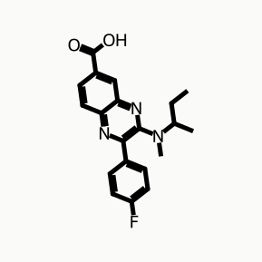 CCC(C)N(C)c1nc2cc(C(=O)O)ccc2nc1-c1ccc(F)cc1